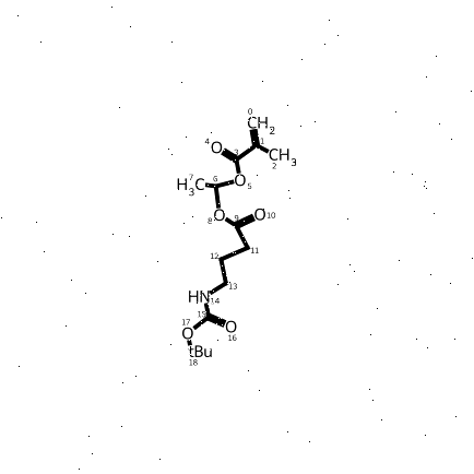 C=C(C)C(=O)OC(C)OC(=O)CCCNC(=O)OC(C)(C)C